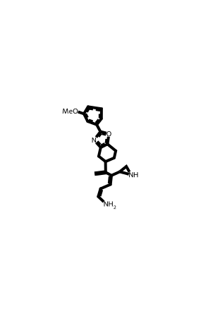 C=C(/C(=C\C=C/N)C1CN1)C1CCc2oc(-c3cccc(OC)c3)nc2C1